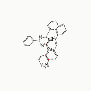 C/C=C\C(=C/N)c1ccc(-c2cccc3cccc(C4N=C(c5ccccc5)N=C(c5ccccc5)N4)c23)cc1